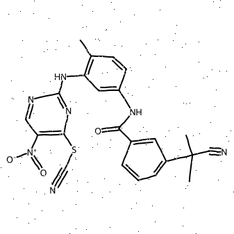 Cc1ccc(NC(=O)c2cccc(C(C)(C)C#N)c2)cc1Nc1ncc([N+](=O)[O-])c(SC#N)n1